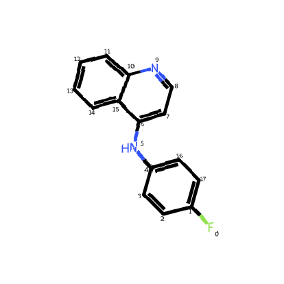 Fc1ccc(Nc2ccnc3ccccc23)cc1